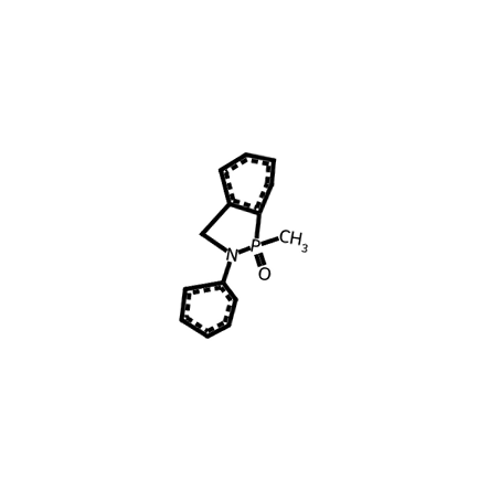 CP1(=O)c2ccccc2CN1c1ccccc1